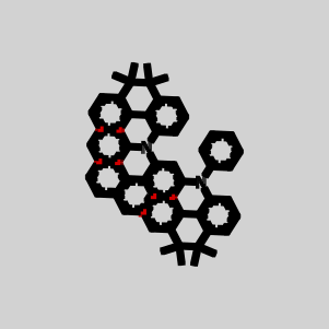 CC1(C)c2ccccc2-c2c(N(c3ccccc3)c3cc(N(c4ccccc4)c4cccc5c4-c4ccccc4C(C)(C)C5(C)C)c4c(ccc5ccccc54)c3)cccc2C1(C)C